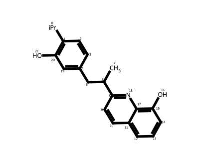 CC(C)c1ccc(CC(C)c2ccc3cccc(O)c3n2)cc1O